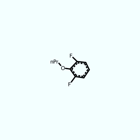 CCCOc1c(F)cccc1F